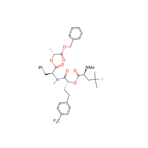 CN[C@@H](CC(C)(C)F)C(=O)O[C@H](CCc1ccc(C(F)(F)F)cc1)C(=O)N(C)[C@@H](CC(C)C)C(=O)O[C@H](C)C(=O)OCc1ccccc1